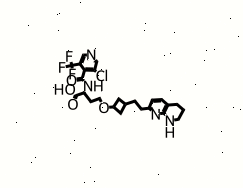 O=C(NC(CCOC1CC(CCc2ccc3c(n2)NCCC3)C1)C(=O)O)c1c(Cl)cncc1C(F)(F)F